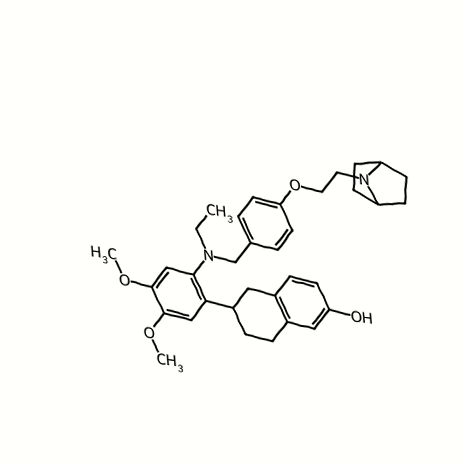 CCN(Cc1ccc(OCCN2C3CCC2CC3)cc1)c1cc(OC)c(OC)cc1C1CCc2cc(O)ccc2C1